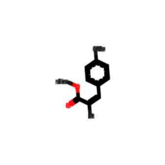 CCCCCCOC(=O)C(=Cc1ccc(OC)cc1)CC